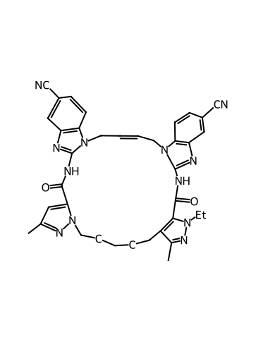 CCn1nc(C)c2c1C(=O)Nc1nc3cc(C#N)ccc3n1C/C=C/Cn1c(nc3cc(C#N)ccc31)NC(=O)c1cc(C)nn1CCCCC2